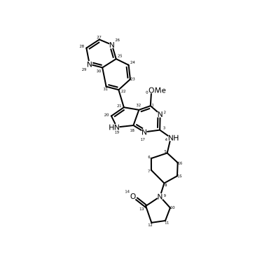 COc1nc(NC2CCC(N3CCCC3=O)CC2)nc2[nH]cc(-c3ccc4nccnc4c3)c12